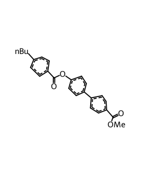 CCCCc1ccc(C(=O)Oc2ccc(-c3ccc(C(=O)OC)cc3)cc2)cc1